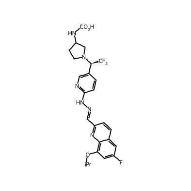 CC(C)Oc1cc(F)cc2ccc(/C=N/Nc3ccc([C@@H](N4CCC(NC(=O)O)C4)C(F)(F)F)cn3)nc12